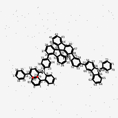 C1=C=C(c2ccccc2N(C2=CC=C(c3ccccc3)CC2)c2ccc(-c3cccc4c3-c3ccccc3C43c4ccccc4-c4ccc5c([nH]c6ccc(-c7ccc8c(c7)c7ccccc7n8-c7ccccc7)cc65)c43)cc2)C=CC=1